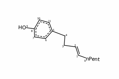 CCCCCC=CCCc1ccc(O)cc1